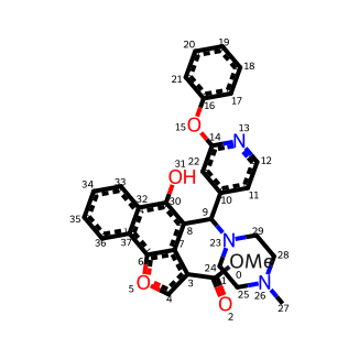 COC(=O)c1coc2c1c(C(c1ccnc(Oc3ccccc3)c1)N1CCN(C)CC1)c(O)c1ccccc12